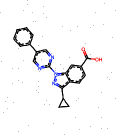 O=C(O)c1ccc2c(C3CC3)nn(-c3ncc(-c4ccccc4)cn3)c2c1